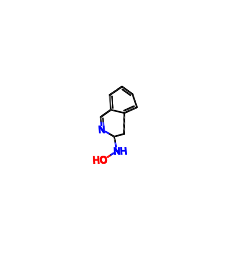 ONC1Cc2ccccc2C=N1